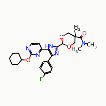 CN(C)C(=O)C1(C)COC(c2nc(-c3ccc(F)cc3)c(-c3ccnc(OC4CCCCC4)n3)[nH]2)OC1